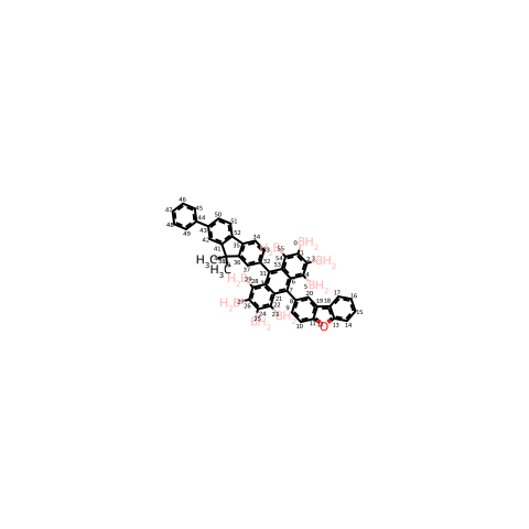 Bc1c(B)c(B)c2c(-c3ccc4oc5ccccc5c4c3)c3c(B)c(B)c(B)c(B)c3c(-c3ccc4c(c3)C(C)(C)c3cc(-c5ccccc5)ccc3-4)c2c1B